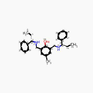 CC[C@H](NCc1cc(C)cc(CN[C@H](CC)c2ccccc2)c1O)c1ccccc1